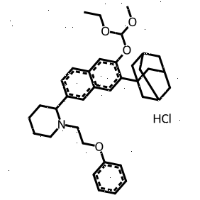 CCOC(OC)Oc1cc2ccc(C3CCCCN3CCOc3ccccc3)cc2cc1C12CC3CC(CC(C3)C1)C2.Cl